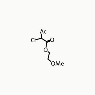 COCCOC(=O)C(Cl)C(C)=O